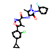 Cc1c(C(=O)Nc2c(C)n(C)n(-c3ccccc3F)c2=O)noc1-c1ccc(C2CC2)cc1Cl